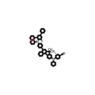 CC1(C)c2cc(N(c3ccccc3)c3ccc(C#N)cc3)ccc2-c2c1cc(-c1ccc(N(c3ccccc3)c3c(F)cc(-c4ccccc4)cc3-c3ccccc3)cc1)c1ccccc21